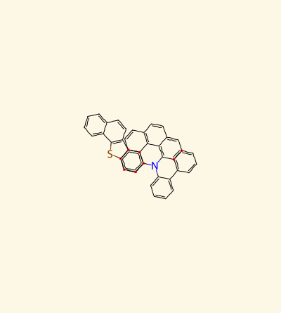 c1ccc(-c2ccccc2N(c2ccc3sc4c5ccccc5ccc4c3c2)c2cccc3ccc4ccc5ccccc5c4c23)cc1